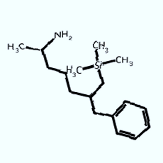 C[C@@H](N)CCCC(Cc1ccccc1)C[Si](C)(C)C